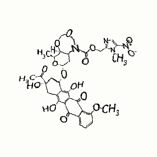 COc1cccc2c1C(=O)c1c(O)c3c(c(O)c1C2=O)C[C@@](O)(C(C)=O)C[C@@H]3O[C@H]1CC2[C@H](OCOCN2C(=O)OCc2ncc([N+](=O)[O-])n2C)[C@H](C)O1